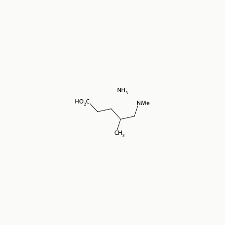 CNCC(C)CCC(=O)O.N